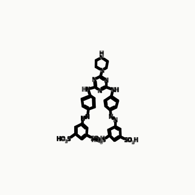 O=S(=O)(O)c1cc(N=Nc2ccc(Nc3nc(Nc4ccc(N=Nc5cc(S(=O)(=O)O)cc(S(=O)(=O)O)c5)cc4)nc(N4CCNCC4)n3)cc2)cc(S(=O)(=O)O)c1